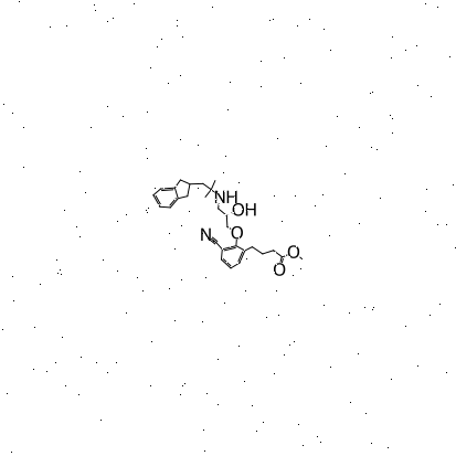 COC(=O)CCCc1cccc(C#N)c1OC[C@@H](O)CNC(C)(C)CC1Cc2ccccc2C1